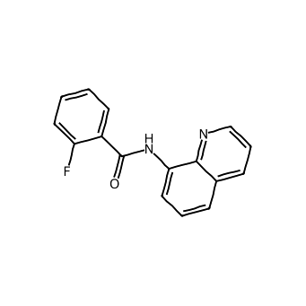 O=C(Nc1cccc2cccnc12)c1ccccc1F